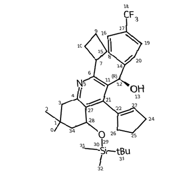 CC1(C)Cc2nc(C3CCC3)c([C@H](O)c3ccc(C(F)(F)F)cc3)c(C3=CCCC3)c2C(O[Si](C)(C)C(C)(C)C)C1